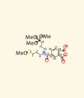 COSCCCN(CCC[Si](OC)(OC)OC)C(=O)c1ccc2c(c1)C(=O)OC2=O